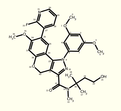 COc1cc(OC)cc(-n2nc(C(=O)N(C)C(C)(C)CCO)c3c2-c2cc(-c4cccnc4F)c(OC)cc2OC3)c1